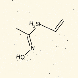 C=C[SiH2]C(C)=NO